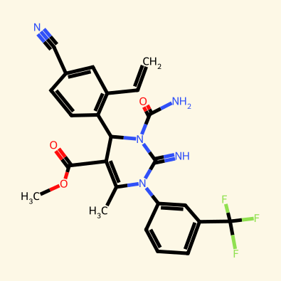 C=Cc1cc(C#N)ccc1C1C(C(=O)OC)=C(C)N(c2cccc(C(F)(F)F)c2)C(=N)N1C(N)=O